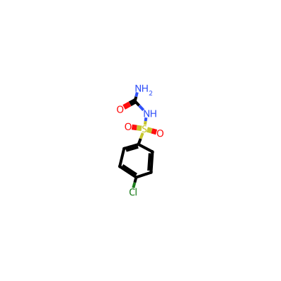 NC(=O)NS(=O)(=O)c1ccc(Cl)cc1